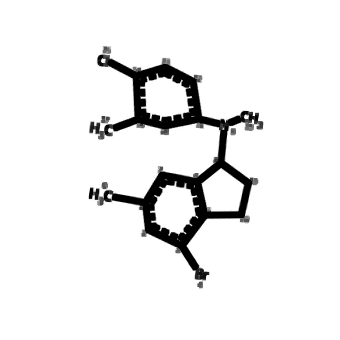 Cc1cc(Br)c2c(c1)C(N(C)c1ccc(Cl)c(C)c1)CC2